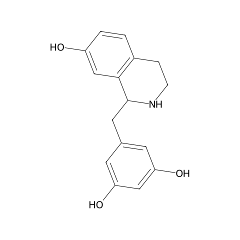 Oc1cc(O)cc(CC2NCCc3ccc(O)cc32)c1